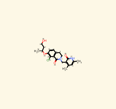 Cc1cc(C)c(CN2CCc3ccc(O[C@@H](C)CCO)c(Cl)c3C2=O)c(=O)[nH]1